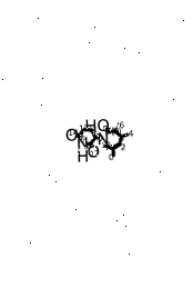 CC1=CC(C)[C@@H](C)[C@H](O)N(C2CCC(=O)NC2=O)C1